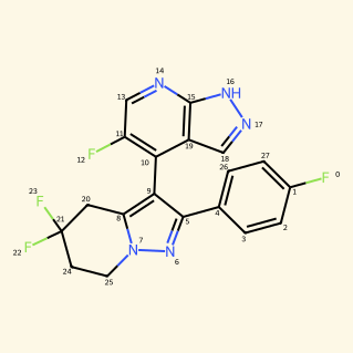 Fc1ccc(-c2nn3c(c2-c2c(F)cnc4[nH]ncc24)CC(F)(F)CC3)cc1